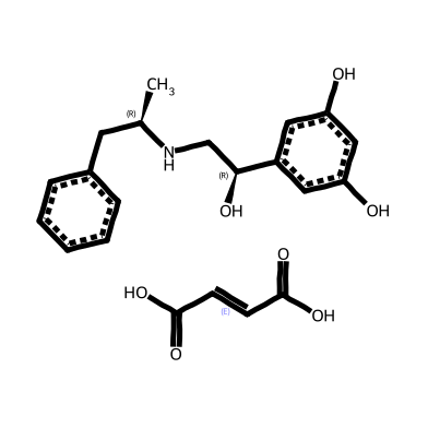 C[C@H](Cc1ccccc1)NC[C@H](O)c1cc(O)cc(O)c1.O=C(O)/C=C/C(=O)O